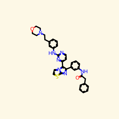 O=C(Cc1ccccc1)Nc1cccc(-c2nc3sccn3c2-c2ccnc(Nc3cccc(CCN4CCOCC4)c3)n2)c1